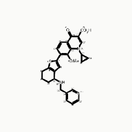 COc1c(-c2cc3c(s2)CCCC3NCc2cccnc2)ccc2c(=O)c(C(=O)O)cn(C3CC3)c12